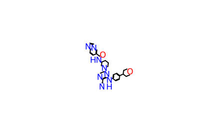 N#Cc1ncc(N2CCCC(NC(=O)c3ccc4nccn4c3)C2)nc1Nc1ccc(C2CCOCC2)cc1